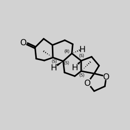 C[C@]12CCC(=O)CC1CC[C@@H]1[C@@H]2CC[C@@]2(C)[C@H]1CCC21OCCO1